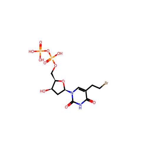 O=c1[nH]c(=O)n([C@H]2C[C@@H](O)[C@@H](COP(=O)(O)OP(=O)(O)O)O2)cc1CCBr